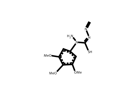 C=N/N=C(/S)N(N)c1cc(OC)c(OC)c(OC)c1